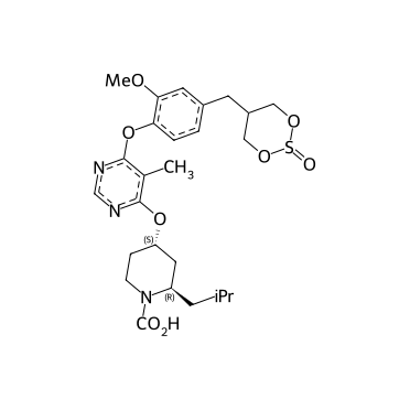 COc1cc(CC2COS(=O)OC2)ccc1Oc1ncnc(O[C@H]2CCN(C(=O)O)[C@H](CC(C)C)C2)c1C